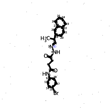 CC(/C=N/NC(=O)CCC(=O)Nc1ccc(Br)cc1)c1ccc2ccccc2c1